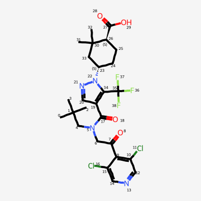 CC(C)(C)CN(CC(=O)c1c(Cl)cncc1Cl)C(=O)c1cnn([C@H]2CC[C@H](C(=O)O)C(C)(C)C2)c1C(F)(F)F